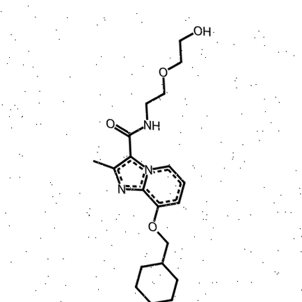 Cc1nc2c(OCC3CCCCC3)cccn2c1C(=O)NCCOCCO